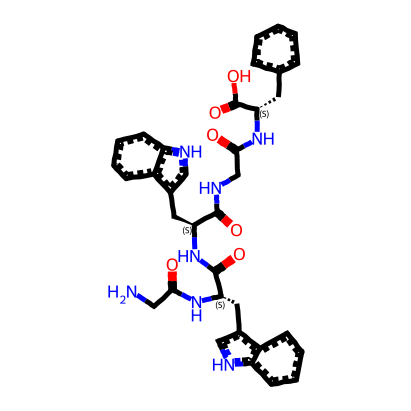 NCC(=O)N[C@@H](Cc1c[nH]c2ccccc12)C(=O)N[C@@H](Cc1c[nH]c2ccccc12)C(=O)NCC(=O)N[C@@H](Cc1ccccc1)C(=O)O